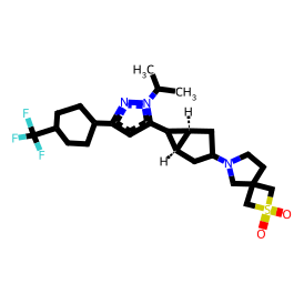 CC(C)n1nc(C2CCC(C(F)(F)F)CC2)cc1C1[C@H]2CC(N3CCC4(C3)CS(=O)(=O)C4)C[C@@H]12